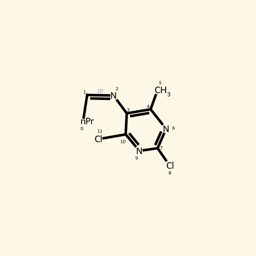 CCC/C=N\c1c(C)nc(Cl)nc1Cl